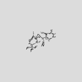 N#CC(Oc1cccc(C(F)(F)F)c1)c1ccccc1